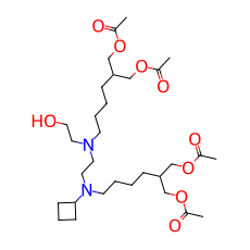 CC(=O)OCC(CCCCN(CCO)CCN(CCCCC(COC(C)=O)COC(C)=O)C1CCC1)COC(C)=O